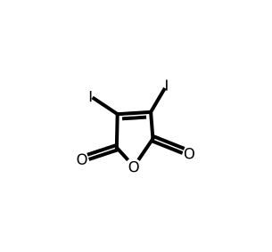 O=C1OC(=O)C(I)=C1I